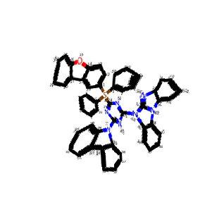 c1ccc(S(c2ccccc2)(c2ccc3oc4ccccc4c3c2)c2nc(-n3c4ccccc4c4ccccc43)nc(-n3c4ccccc4n4c5ccccc5nc34)n2)cc1